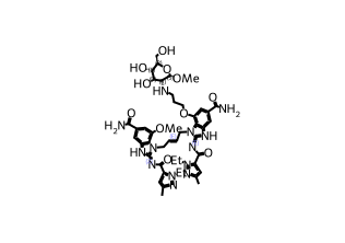 CCn1nc(C)cc1C(=O)/N=c1/[nH]c2cc(C(N)=O)cc(OC)c2n1C/C=C/Cn1/c(=N/C(=O)c2cc(C)nn2CC)[nH]c2cc(C(N)=O)cc(OCCCN[C@H]3[C@@H](OC)O[C@H](CO)[C@@H](O)[C@@H]3O)c21